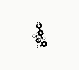 O=C(O)[C@@H]1CC[C@H](c2ccccc2Cl)N1C(=O)c1ccc(C2CCOCC2)cc1